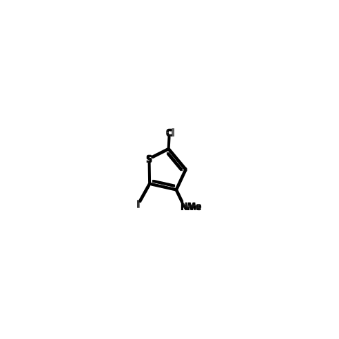 CNc1cc(Cl)sc1I